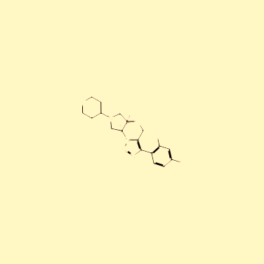 Fc1ccc(-c2nnn3c2CO[C@H]2CN(C4CCOCC4)C[C@@H]23)c(Cl)c1